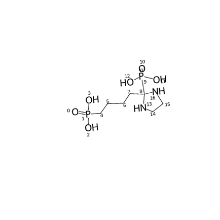 O=P(O)(O)CCCCC1(P(=O)(O)O)NCCN1